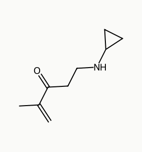 C=C(C)C(=O)CCNC1CC1